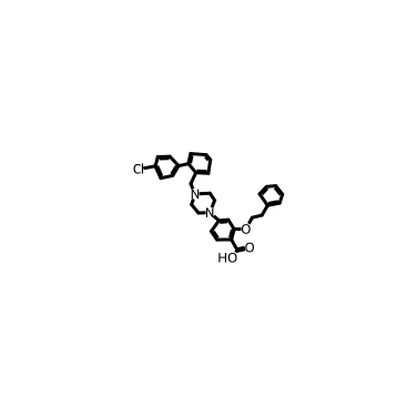 O=C(O)c1ccc(N2CCN(Cc3ccccc3-c3ccc(Cl)cc3)CC2)cc1OCCc1ccccc1